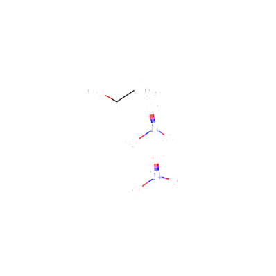 CCO.O=[N+]([O-])[O-].O=[N+]([O-])[O-].[Be+2]